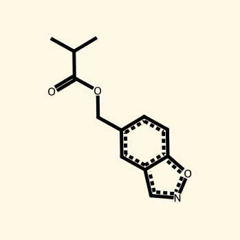 CC(C)C(=O)OCc1ccc2oncc2c1